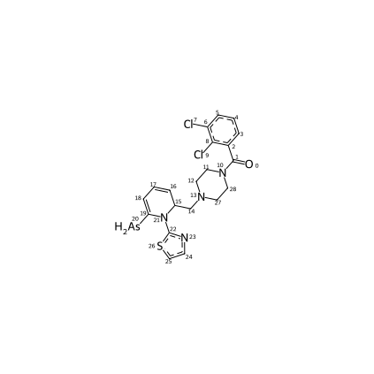 O=C(c1cccc(Cl)c1Cl)N1CCN(CC2C=CC=C([AsH2])N2c2nccs2)CC1